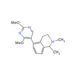 COc1ncc(-c2cccc3c2CCN(C)C3C)c(OC)n1